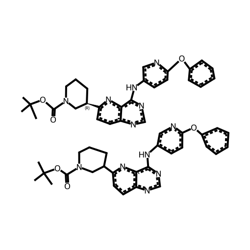 CC(C)(C)OC(=O)N1CCCC(c2ccc3ncnc(Nc4ccc(Oc5ccccc5)nc4)c3n2)C1.CC(C)(C)OC(=O)N1CCC[C@@H](c2ccc3ncnc(Nc4ccc(Oc5ccccc5)nc4)c3n2)C1